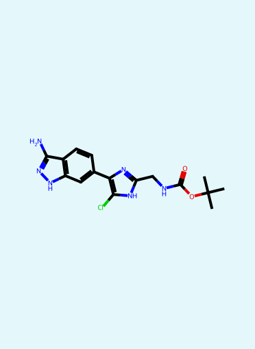 CC(C)(C)OC(=O)NCc1nc(-c2ccc3c(N)n[nH]c3c2)c(Cl)[nH]1